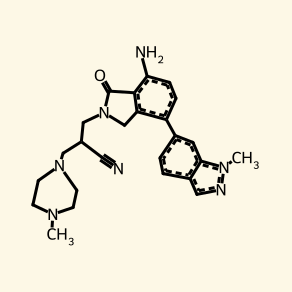 CN1CCN(CC(C#N)CN2Cc3c(-c4ccc5cnn(C)c5c4)ccc(N)c3C2=O)CC1